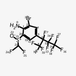 Nc1c(Br)cc(C(F)(C(F)(F)F)C(F)(F)C(F)(F)F)cc1[S+]([O-])C(F)F